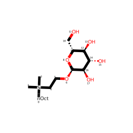 CCCCCCCC[Si](C)(C)CCO[C@H]1O[C@H](CO)[C@@H](O)[C@H](O)[C@H]1O